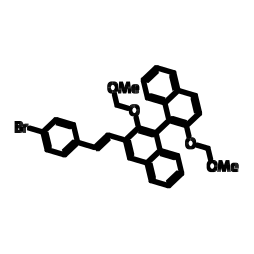 COCOc1ccc2ccccc2c1-c1c(OCOC)c(C=Cc2ccc(Br)cc2)cc2ccccc12